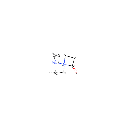 O=CN[N+]1(CC(=O)[O-])CCC1=O